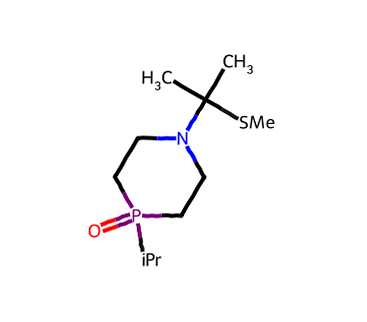 CSC(C)(C)N1CCP(=O)(C(C)C)CC1